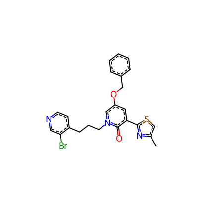 Cc1csc(-c2cc(OCc3ccccc3)cn(CCCc3ccncc3Br)c2=O)n1